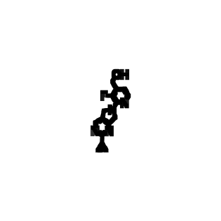 OCc1ccnc(N2Cc3cnc(C4CC4)nc3C2)c1F